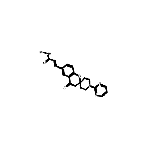 O=C(/C=C/c1ccc2c(c1)C(=O)CC1(CCN(c3ncccn3)CC1)O2)NO